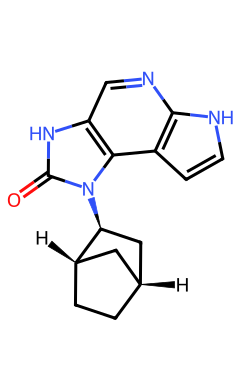 O=c1[nH]c2cnc3[nH]ccc3c2n1[C@H]1C[C@@H]2CC[C@H]1C2